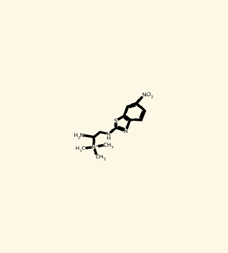 C[N+](C)(C)C(N)CNc1nc2ccc([N+](=O)[O-])cc2s1